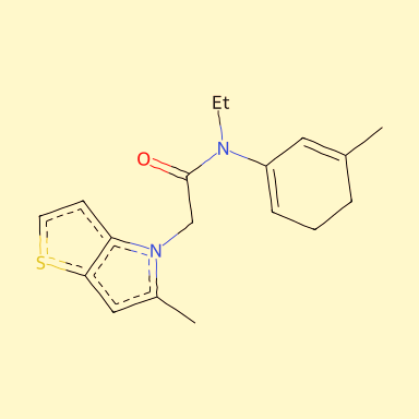 CCN(C(=O)Cn1c(C)cc2sccc21)C1=CCCC(C)=C1